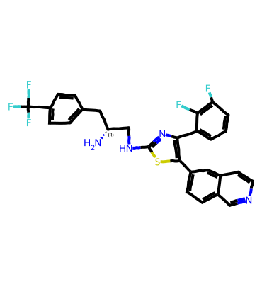 N[C@@H](CNc1nc(-c2cccc(F)c2F)c(-c2ccc3cnccc3c2)s1)Cc1ccc(C(F)(F)F)cc1